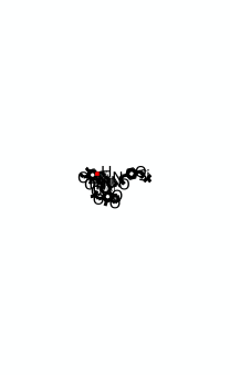 COc1c(C)cc2c(c1O)[C@@H]1[C@@H]3Cc4c(OC(C)=O)c(C)c5c(c4[C@H](CNC(=O)Cc4ccc(O[Si](C)(C)C(C)(C)C)cc4)N3[C@@H](C#N)[C@H](C2)N1C)OCO5